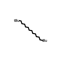 [CH2]CC(C)CCCCCCCCCCCCC(C)(C)C